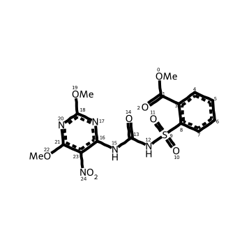 COC(=O)c1ccccc1S(=O)(=O)NC(=O)Nc1nc(OC)nc(OC)c1[N+](=O)[O-]